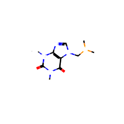 CCCn1c(=O)c2c(ncn2CP(C)C)n(CCC)c1=O